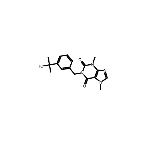 Cn1cnc2c1c(=O)n(Cc1cccc(C(C)(C)O)c1)c(=O)n2C